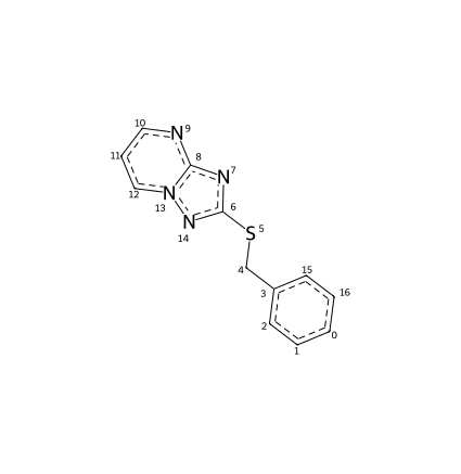 c1ccc(CSc2nc3ncccn3n2)cc1